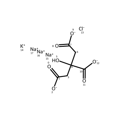 O=C([O-])CC(O)(CC(=O)[O-])C(=O)[O-].[Cl-].[K+].[Na+].[Na+].[Na+]